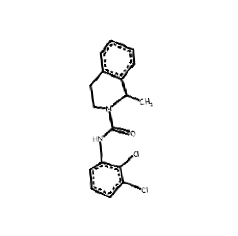 CC1c2ccccc2CCN1C(=O)Nc1cccc(Cl)c1Cl